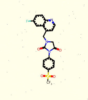 O=C1CN(Cc2ccnc3ccc(F)cc23)C(=O)N1c1ccc(S(=O)(=O)C(F)(F)F)cc1